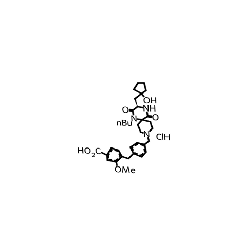 CCCCN1C(=O)[C@@H](CC2(O)CCCC2)NC(=O)C12CCN(Cc1ccc(Cc3ccc(C(=O)O)cc3OC)cc1)CC2.Cl